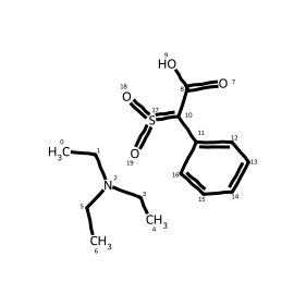 CCN(CC)CC.O=C(O)C(c1ccccc1)=S(=O)=O